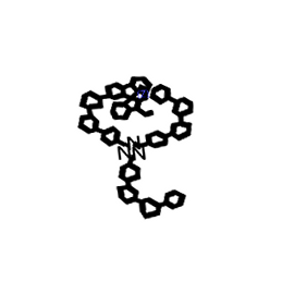 C=CC1=C(/C=C\C)C2(c3ccccc31)c1ccccc1-c1ccc(-c3cccc(-c4cccc(-c5ccc(-c6nc(-c7ccc(-c8cccc(-c9cccc(-c%10ccccc%10)c9)c8)cc7)nc(-c7ccc(-c8cccc(-c9cccc(-c%10ccccc%10)c9)c8)cc7)n6)cc5)c4)c3)cc12